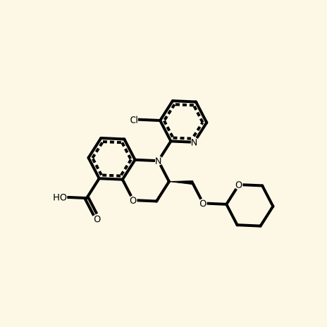 O=C(O)c1cccc2c1OC[C@H](COC1CCCCO1)N2c1ncccc1Cl